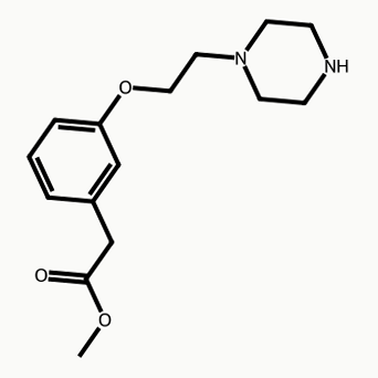 COC(=O)Cc1cccc(OCCN2CCNCC2)c1